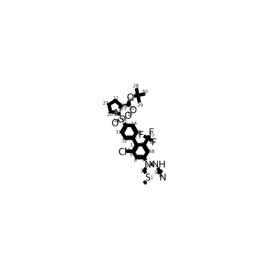 CSCN(NC#N)c1cc(Cl)c(-c2ccc(S(=O)(=O)N3CCC[C@H]3C(=O)OC(C)(C)C)cc2)c(C(F)(F)F)c1